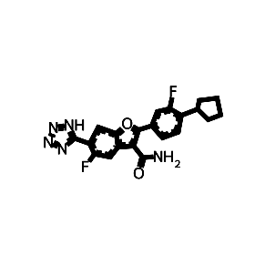 NC(=O)c1c(-c2ccc(C3CCCC3)c(F)c2)oc2cc(-c3nnn[nH]3)c(F)cc12